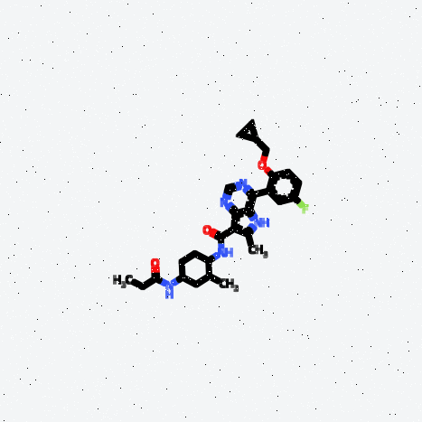 CCC(=O)NC1CCC(NC(=O)c2c(C)[nH]c3c(-c4cc(F)ccc4OCC4CC4)ncnc23)C(C)C1